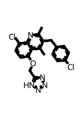 Cc1nc2c(Cl)ccc(OCc3nnn[nH]3)c2c(C)c1Cc1ccc(Cl)cc1